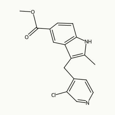 COC(=O)c1ccc2[nH]c(C)c(Cc3ccncc3Cl)c2c1